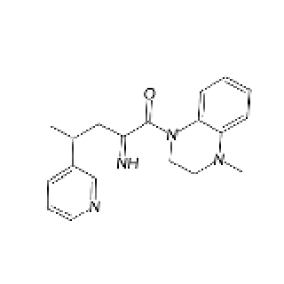 CC(CC(=N)C(=O)N1CCN(C)c2ccccc21)c1cccnc1